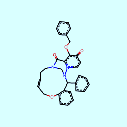 O=C1c2c(OCc3ccccc3)c(=O)ccn2N2CN1CC/C=C/COc1ccccc1C2c1ccccc1